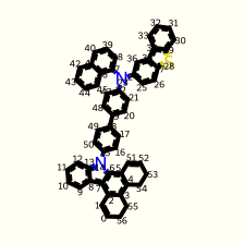 C1=Cc2c(c3c(c4c2c2ccccc2n4-c2ccc(-c4ccc(N(c5ccc6sc7ccccc7c6c5)c5cccc6ccccc56)cc4)cc2)C=CCC3)CC1